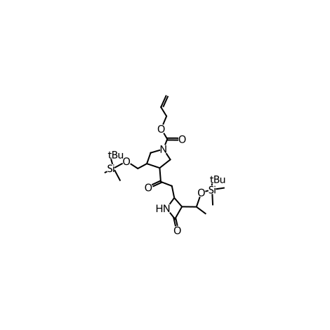 C=CCOC(=O)N1CC(CO[Si](C)(C)C(C)(C)C)C(C(=O)CC2NC(=O)C2C(C)O[Si](C)(C)C(C)(C)C)C1